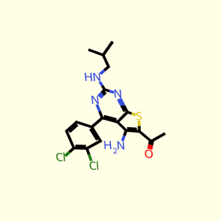 CC(=O)c1sc2nc(NCC(C)C)nc(-c3ccc(Cl)c(Cl)c3)c2c1N